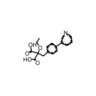 CCOC(Cc1ccc(-c2cccnc2)cc1)(C(=O)O)C(=O)O